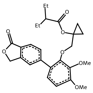 CCC(CC)C(=O)OC1(COc2c(-c3ccc4c(c3)COC4=O)ccc(OC)c2OC)CC1